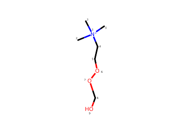 C[N+](C)(C)CCOOCO